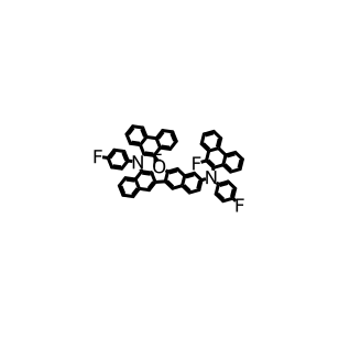 Fc1ccc(N(c2ccc3cc4c(cc3c2)oc2c(N(c3ccc(F)cc3)c3c(F)c5ccccc5c5ccccc35)c3ccccc3cc24)c2c(F)c3ccccc3c3ccccc23)cc1